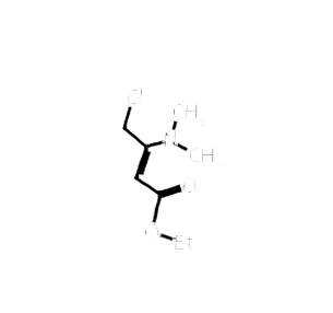 CCOC(=O)C=C(CCl)N(C)C